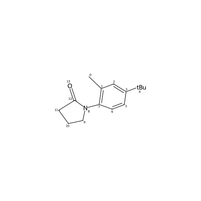 Cc1cc(C(C)(C)C)ccc1N1CCCC1=O